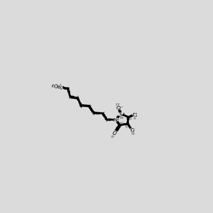 CCCCCCCCCCCCCCCCCCN1C(=O)C(Cl)C(Cl)[S+]1[O-]